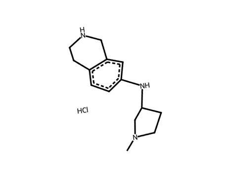 CN1CCC(Nc2ccc3c(c2)CNCC3)C1.Cl